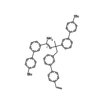 C=Cc1ccc(-c2cccc(CC(C)(/N=C(\N)c3cccc(-c4ccc(C(C)(C)C)cc4)c3)c3cccc(-c4ccc(C(C)(C)C)cc4)c3)c2)cc1